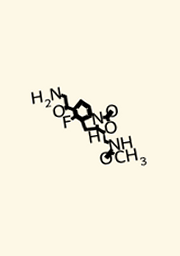 CC(=O)NC[C@@H]1OC(=O)N2c3ccc(C(=O)CN)c(F)c3C[C@@H]12